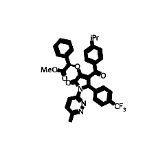 COC(=O)[C@H](OC1=C(C(=O)c2ccc(C(C)C)cc2)C(c2ccc(C(F)(F)F)cc2)N(c2ccc(C)nn2)C1=O)c1ccccc1